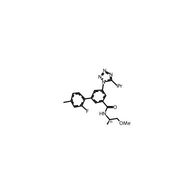 COC[C@@H](C)NC(=O)c1cc(-c2ccc(C)cc2F)cc(-n2nnnc2C(C)C)c1